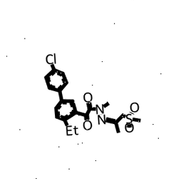 CCc1ccc(-c2ccc(Cl)cc2)cc1C(=O)C(=O)N(C)N=C(C)CS(C)(=O)=O